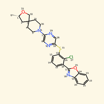 C[C@H]1CC2(CCN(c3cnc(Sc4cccc(-c5nc6ccccc6o5)c4Cl)cn3)CC2)CO1